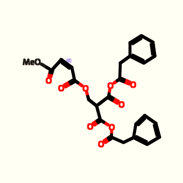 COC(=O)/C=C\C(=O)OCC(C(=O)OC(=O)Cc1ccccc1)C(=O)OC(=O)Cc1ccccc1